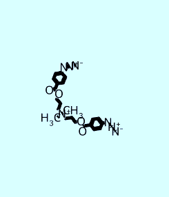 C[N+](C)(CCCOC(=O)c1ccc(N=[N+]=[N-])cc1)CCCOC(=O)c1ccc(N=[N+]=[N-])cc1